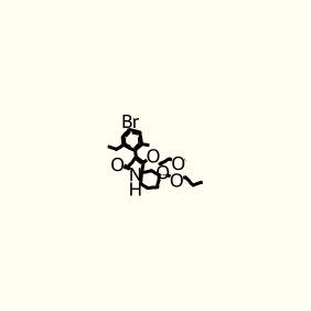 CCCOC[C@@H]1CCCC2(C1)NC(=O)C(c1c(C)cc(Br)cc1CC)=C2OC(=O)COC